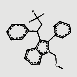 COCn1c(-c2ccccc2)c(C(CC(F)(F)F)c2ccccc2)c2ccccc21